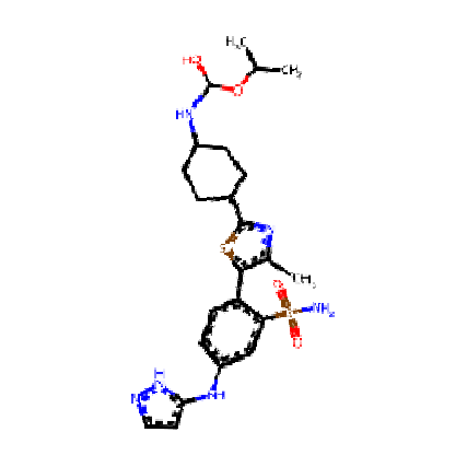 Cc1nc(C2CCC(NC(O)OC(C)C)CC2)sc1-c1ccc(Nc2ccn[nH]2)cc1S(N)(=O)=O